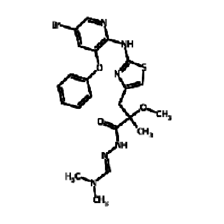 COC(C)(Cc1csc(Nc2ncc(Br)cc2Oc2ccccc2)n1)C(=O)N/N=C/N(C)C